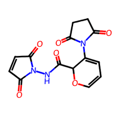 O=C(NN1C(=O)C=CC1=O)C1OC=CC=C1N1C(=O)CCC1=O